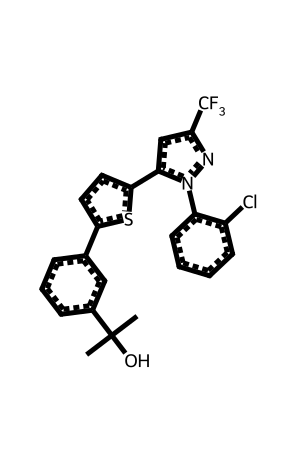 CC(C)(O)c1cccc(-c2ccc(-c3cc(C(F)(F)F)nn3-c3ccccc3Cl)s2)c1